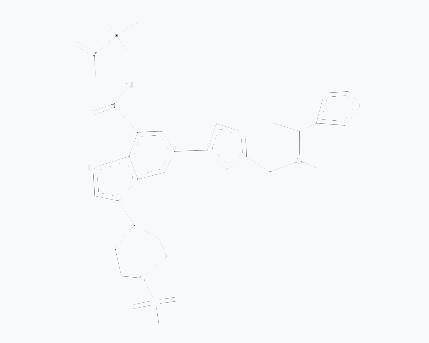 CCS(=O)(=O)N1CCC(c2c[nH]c3c(C(N)=O)cc(-c4csc(CN(C)C(C)c5cccs5)c4)cc23)CC1.O=C(O)C(F)(F)F